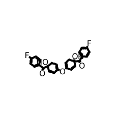 O=C(c1ccc(F)cc1)C1(O)C=CC(OC2=CCC(O)(C(=O)c3ccc(F)cc3)C=C2)=CC1